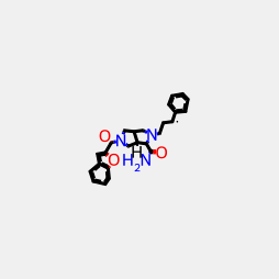 NC(=O)C1[C@@H]2CN(C(=O)c3cc4ccccc4o3)CC2CN1CC[CH]c1ccccc1